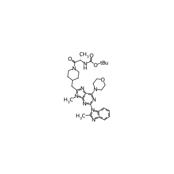 Cc1nc2ccccc2n1-c1nc(N2CCOCC2)c2nc(CC3CCN(C(=O)[C@H](C)NC(=O)OC(C)(C)C)CC3)n(C)c2n1